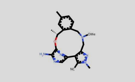 CON1Cc2ccc(C)cc2[C@@H](C)Oc2nc(cnc2N)-c2c(nn(C)c2C#N)C1